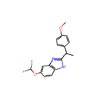 COc1ccc(C(C)c2nc3cc(OC(F)F)ccc3[nH]2)cc1